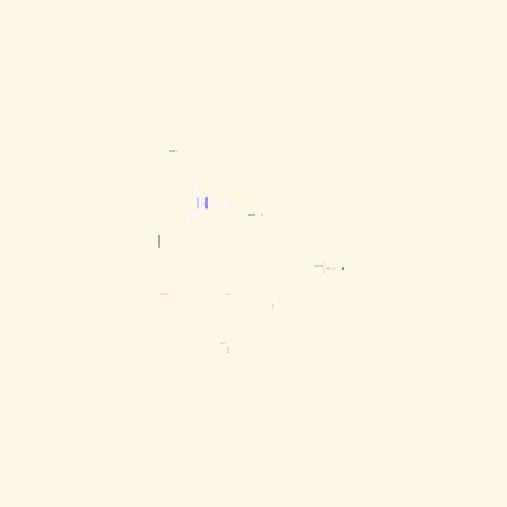 CCCCCCOP(=O)(O)O.CCN(CC)CC